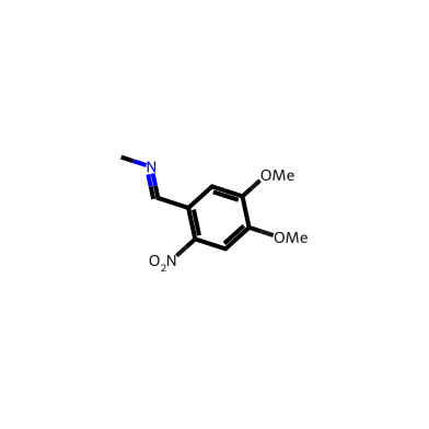 CN=Cc1cc(OC)c(OC)cc1[N+](=O)[O-]